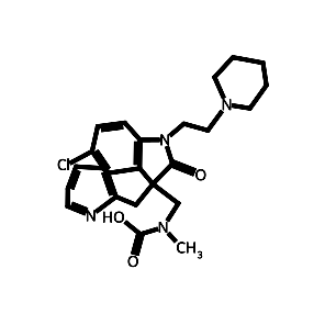 CN(CC1(Cc2ccccn2)C(=O)N(CCN2CCCCC2)c2ccc(Cl)cc21)C(=O)O